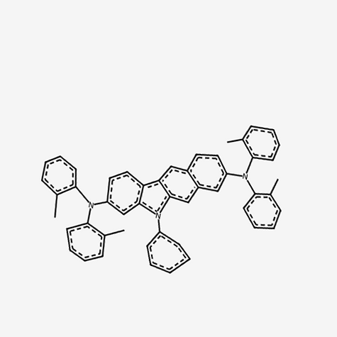 Cc1ccccc1N(c1ccc2cc3c4ccc(N(c5ccccc5C)c5ccccc5C)cc4n(-c4ccccc4)c3cc2c1)c1ccccc1C